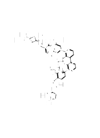 COc1nc(-c2cccc(-c3cccc(-c4cc(C)n5c(=O)c(CNC6CC(C)(O)C6)cnc5c4)c3Cl)c2Cl)ccc1CNC[C@H]1CCC(=O)N1